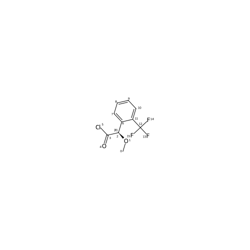 CO[C@@H](C(=O)Cl)c1ccccc1C(F)(F)F